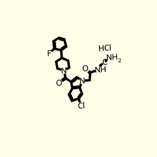 Cl.NCCNC(=O)Cn1cc(C(=O)N2CCC(c3ccccc3F)CC2)c2ccc(Cl)cc21